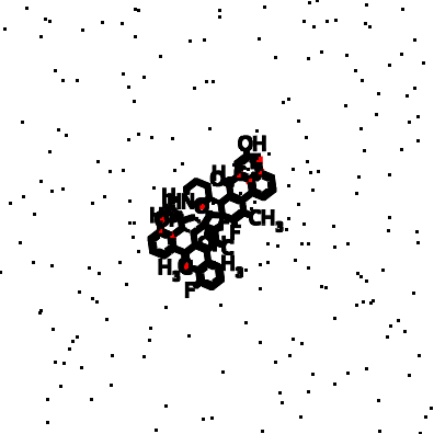 CC1=C(F)[C@](CCO)(C(=O)[C@@]2(CCO)C(F)=C(C)C(c3cccc(F)c3C)=C(C(=O)c3cccc(O)c3)[C@@H]2C2CCCNC2)[C@@H](C2CCCNC2)C(C(=O)c2cccc(O)c2)=C1c1cccc(F)c1C